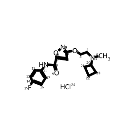 CN(CCOc1cc(C(=O)Nc2ccc(F)cc2)on1)C1CCC1.Cl